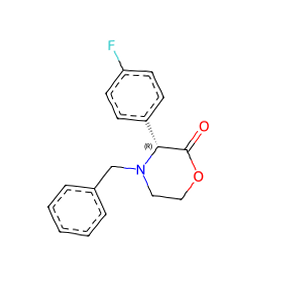 O=C1OCCN(Cc2ccccc2)[C@@H]1c1ccc(F)cc1